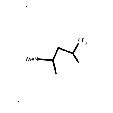 CNC(C)CC(C)C(F)(F)F